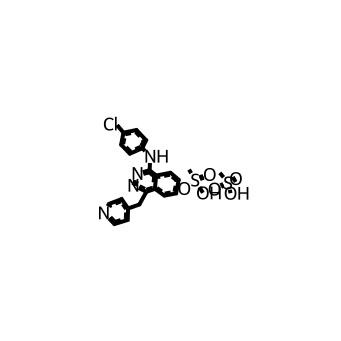 CS(=O)(=O)O.CS(=O)(=O)O.Clc1ccc(Nc2nnc(Cc3ccncc3)c3ccccc23)cc1